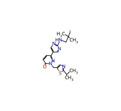 CC(C)c1ncc(Cn2nc(-c3cnc(NCC(C)(C)I)nc3)ccc2=O)s1